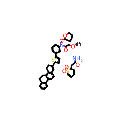 CC(C)OCC(=O)N(OC1CCCCO1)c1cccc(-c2ccc(C3=Cc4ccc5c(c4CC3)CCc3ccccc3-5)s2)c1.NC(=O)CC1C=CC=CS1(=O)=O